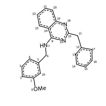 COc1cccc(CNc2nc(Cc3ccccc3)nc3ccccc23)c1